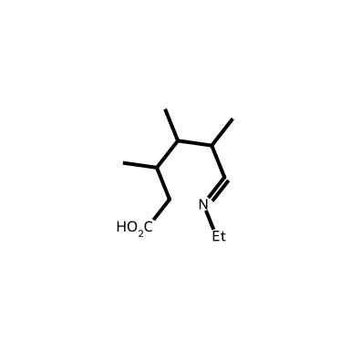 CCN=CC(C)C(C)C(C)CC(=O)O